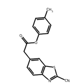 Cc1ccc(OC(=O)Cc2ccc3nc(C#N)sc3c2)cc1